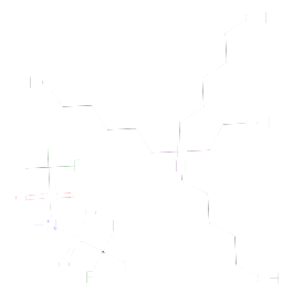 CCCCCC[PH](CCO)(CCCCCC)CCCCCC.O=S(=O)(NS(=O)(=O)C(F)(F)F)C(F)(F)F